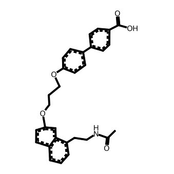 CC(=O)NCCc1cccc2ccc(OCCCOc3ccc(-c4ccc(C(=O)O)cc4)cc3)cc12